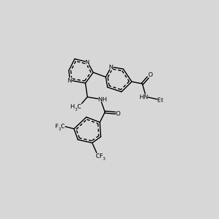 CCNC(=O)c1ccc(-c2nccnc2C(C)NC(=O)c2cc(C(F)(F)F)cc(C(F)(F)F)c2)nc1